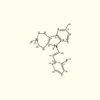 Cc1ccc2c(c1)c1c(n2C=Cc2ccccc2F)CCN(C)CC1